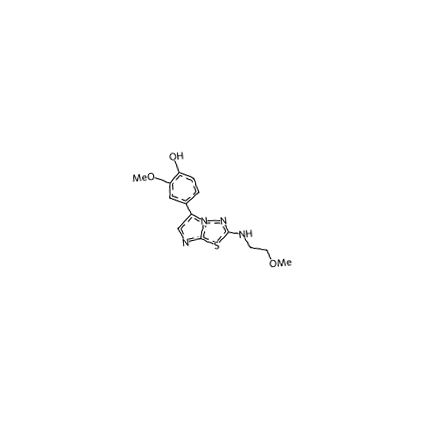 COCCNc1nn2c(-c3ccc(O)c(OC)c3)cnc2s1